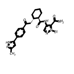 CCn1ncc(NC(=O)[C@@H]2CCCC[C@H]2CC(=O)c2ccc(-c3cc(C)n[nH]3)cc2)c1C(N)=O